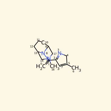 C=C(C1=NCC(C)=C1)N1C2CCCC1CN(C)C2